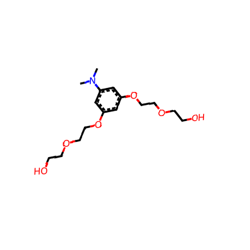 CN(C)c1cc(OCCOCCO)cc(OCCOCCO)c1